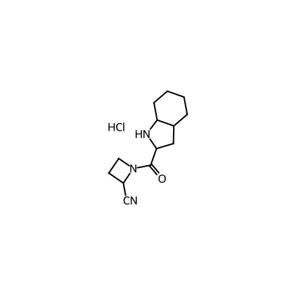 Cl.N#CC1CCN1C(=O)C1CC2CCCCC2N1